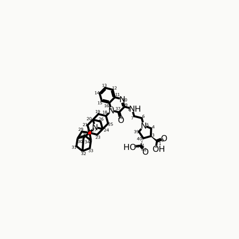 O=C(O)[C@@H]1CN(CCNc2nc3ccccc3n(C3CC45CCCC(C3)(C4)N5C34CC5CC(CC3C5)C4)c2=O)C[C@H]1C(=O)O